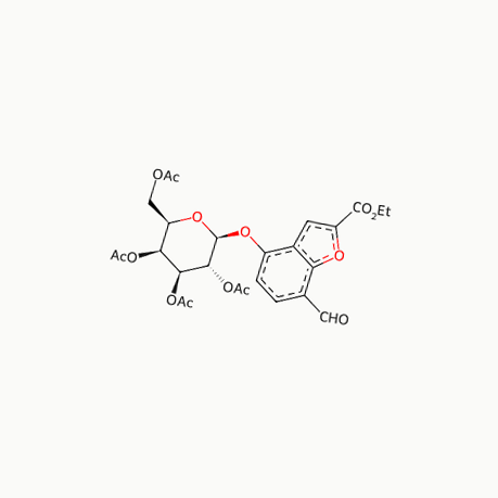 CCOC(=O)c1cc2c(O[C@@H]3O[C@H](COC(C)=O)[C@H](OC(C)=O)[C@H](OC(C)=O)[C@H]3OC(C)=O)ccc(C=O)c2o1